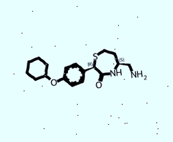 NC[C@@H]1CCS[C@H](c2ccc(OC3CCCCC3)cc2)C(=O)N1